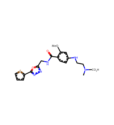 COc1cc(NCCN(C)C(=O)O)ccc1C(=O)NCc1nnc(-c2cccs2)o1